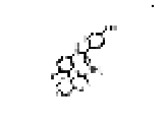 N#Cc1ccc(C(=O)Nc2ccc(F)c(C34CCOCC3CSC(N)=N4)c2)nc1